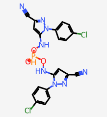 N#Cc1cc(NO[PH](=O)ONc2cc(C#N)nn2-c2ccc(Cl)cc2)n(-c2ccc(Cl)cc2)n1